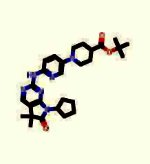 CC(C)(C)OC(=O)C1CCN(c2ccc(Nc3ncc4c(n3)N(C3CCCC3)C(=O)C4(C)C)nc2)CC1